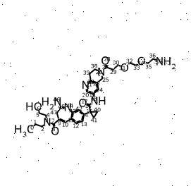 CCCN(CCO)C(=O)C1=Cc2ccc(C3(C(=O)Nc4cnc5c(c4)CN(C(=O)CCOCCOCCN)CC5)CC3)cc2N=C(N)C1